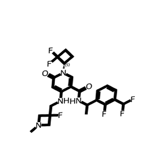 CC(NC(=O)c1cn([C@H]2CCC2(F)F)c(=O)cc1NCC1(F)CN(C)C1)c1cccc(C(F)F)c1F